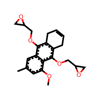 COc1cc(C)cc2c(OCC3CO3)c3c(c(OCC4CO4)c12)CC=CC3